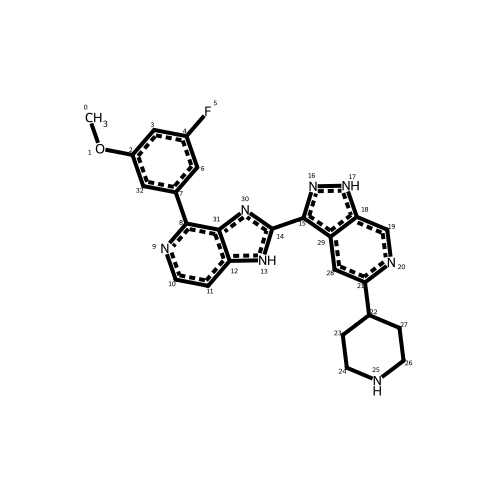 COc1cc(F)cc(-c2nccc3[nH]c(-c4n[nH]c5cnc(C6CCNCC6)cc45)nc23)c1